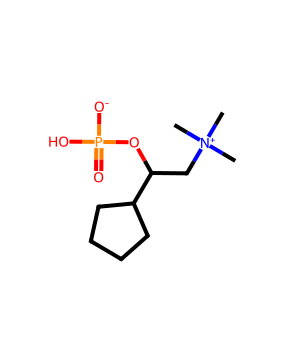 C[N+](C)(C)CC(OP(=O)([O-])O)C1CCCC1